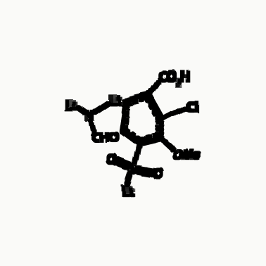 CCN(C=O)CC.CCS(=O)(=O)c1ccc(C(=O)O)c(Cl)c1OC